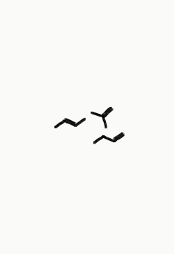 C=C(C)C.C=CCC.CC=CC